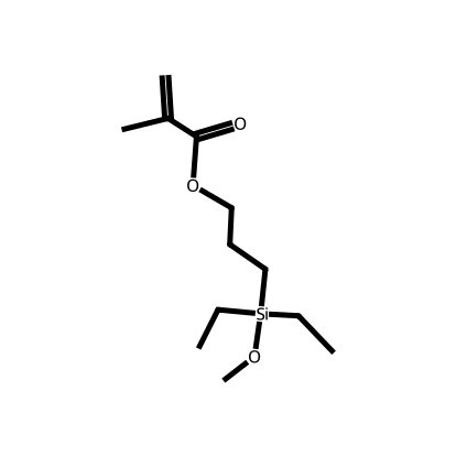 C=C(C)C(=O)OCCC[Si](CC)(CC)OC